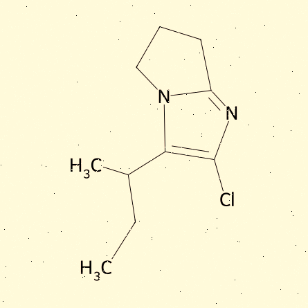 CCC(C)c1c(Cl)nc2n1CCC2